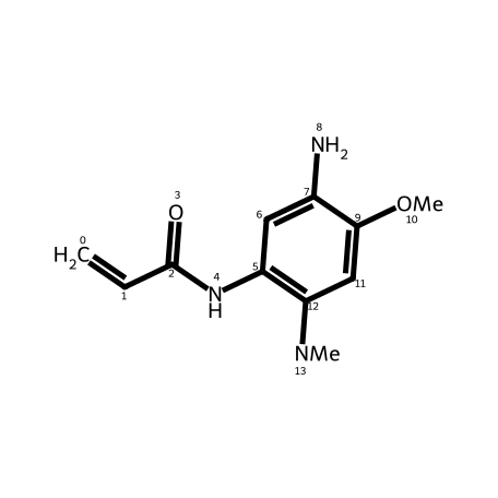 C=CC(=O)Nc1cc(N)c(OC)cc1NC